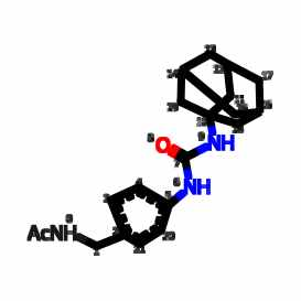 CC(=O)NCc1ccc(NC(=O)NC23CC4CC(CC(C4)C2)C3)cc1